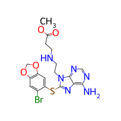 COC(=O)CCNCCn1c(Sc2cc3c(cc2Br)OCO3)nc2c(N)ncnc21